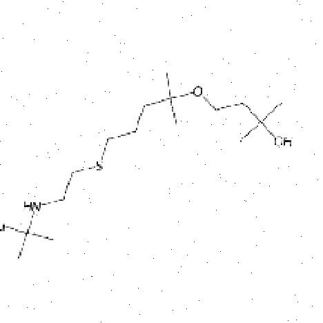 CCCCC(C)(C)NCCSCCCC(C)(C)OCCC(C)(C)O